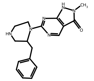 Cn1[nH]c2nc(N3CCNCC3Cc3ccccc3)ncc2c1=O